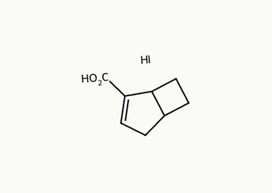 I.O=C(O)C1=CCC2CCC12